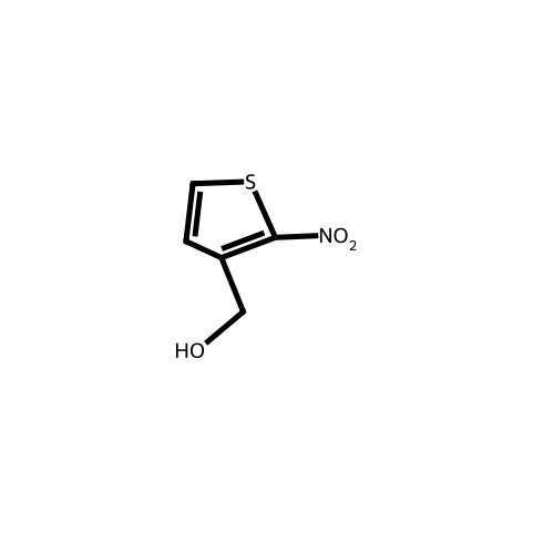 O=[N+]([O-])c1sccc1CO